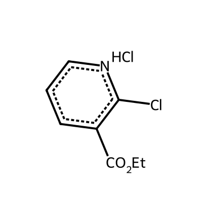 CCOC(=O)c1cccnc1Cl.Cl